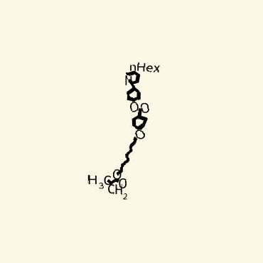 C=C(C)C(=O)OCCCCCCCCOc1ccc(C(=O)Oc2ccc(-c3ccc(CCCCCC)cn3)cc2)cc1